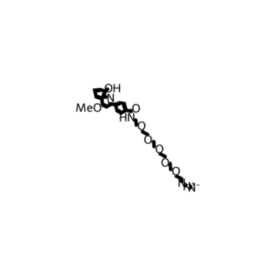 COc1cc(-c2ccc(C(=O)NCCOCCOCCOCCOCCOCCN=[N+]=[N-])cc2)nc2c(O)cccc12